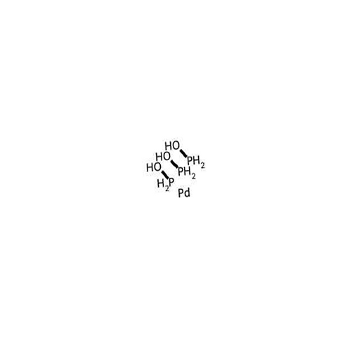 OP.OP.OP.[Pd]